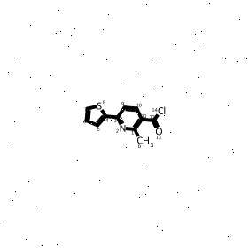 Cc1nc(-c2cccs2)ccc1C(=O)Cl